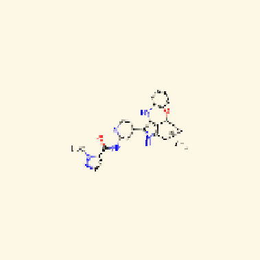 Cn1nccc1C(=O)Nc1cc(-c2[nH]c3c(c2Nc2ccccc2)C(=O)C2C[C@@]2(C)C3)ccn1